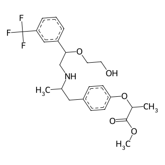 COC(=O)C(C)Oc1ccc(CC(C)NCC(OCCO)c2cccc(C(F)(F)F)c2)cc1